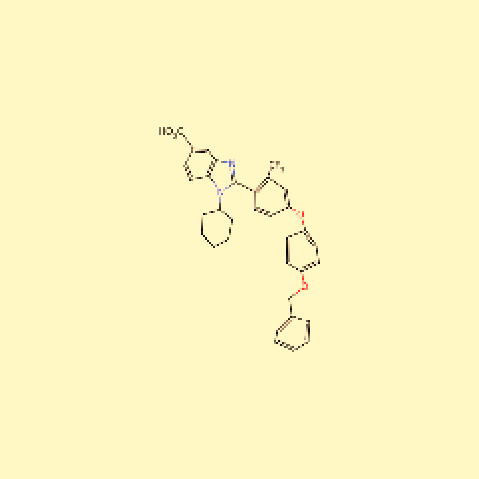 O=C(O)c1ccc2c(c1)nc(-c1ccc(Oc3ccc(OCc4ccccc4)cc3)cc1C(F)(F)F)n2C1CCCCC1